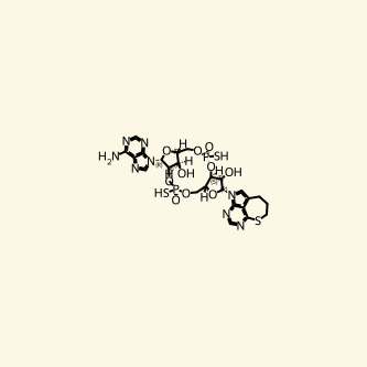 Nc1ncnc2c1ncn2[C@@H]1O[C@@H]2COP(=O)(S)O[C@H]3[C@@H](O)[C@H](n4cc5c6c(ncnc64)SCCC5)O[C@@H]3COP(=O)(S)O[C@@H]1[C@@H]2O